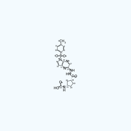 Cc1ccc(S(=O)(=O)n2ccc3nc(NNC(=O)[C@@H]4CC[C@H](NC(=O)O)C4)cnc32)cc1